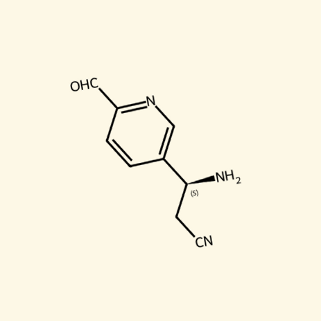 N#CC[C@H](N)c1ccc(C=O)nc1